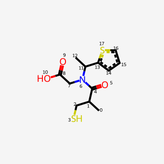 CC(CS)C(=O)N(CC(=O)O)C(C)c1cccs1